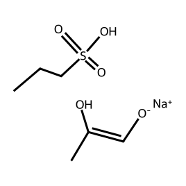 CC(O)=C[O-].CCCS(=O)(=O)O.[Na+]